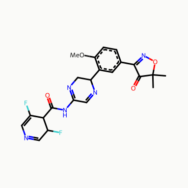 COc1ccc(C2=NOC(C)(C)C2=O)cc1C1CN=C(NC(=O)C2C(F)=CN=CC2F)C=N1